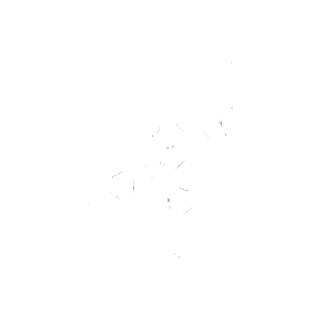 COCOC1(c2ncc(-c3c(Cl)cnc4c3cc(-c3ccc(CCN5CCCC5)cc3)n4S(=O)(=O)c3ccc(C)cc3)s2)CCC1